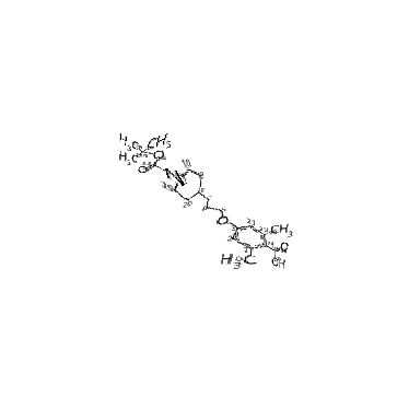 Cc1cc(OCCCC2CCN(C(=O)OC(C)(C)C)CC2)cc(C)c1C(=O)O